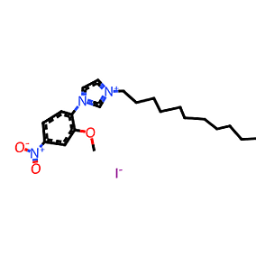 CCCCCCCCCCC[n+]1ccn(-c2ccc([N+](=O)[O-])cc2OC)c1.[I-]